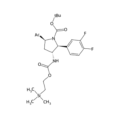 CC(=O)[C@@H]1C[C@@H](NC(=O)OCC[Si](C)(C)C)[C@H](c2ccc(F)c(F)c2)N1C(=O)OC(C)(C)C